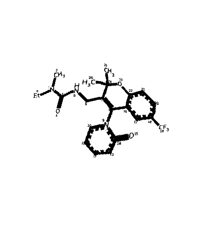 CCN(C)C(=O)NCC1=C(n2ccccc2=O)c2cc(C(F)(F)F)ccc2OC1(C)C